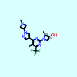 Cc1c(-c2cnn(C3CN(C)C3)c2)nc(N2C[C@@H](O)[C@@H]2C)nc1C(F)(F)F